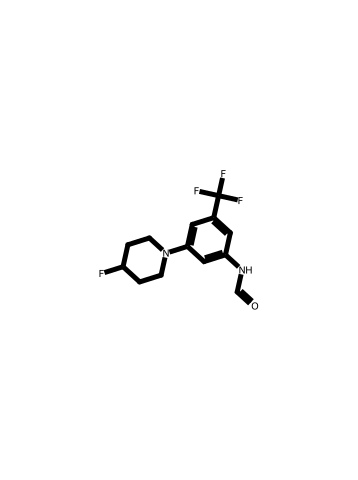 O=CNc1cc(N2CCC(F)CC2)cc(C(F)(F)F)c1